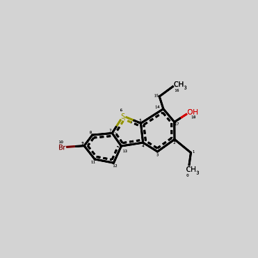 CCc1cc2c(sc3cc(Br)ccc32)c(CC)c1O